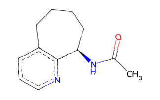 CC(=O)N[C@@H]1CCCCc2cccnc21